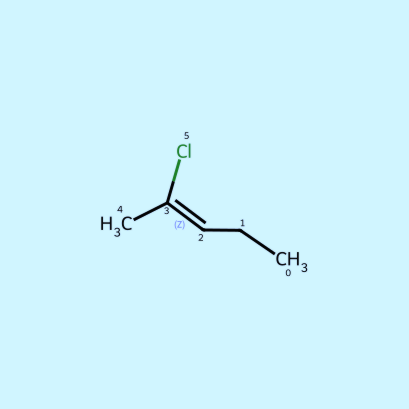 CC/C=C(/C)Cl